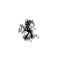 C=C(C)[C@@H]1CC[C@]2(C(=O)N(CCCCCCCN)C(=O)CCC(C)(C)C(=O)OC)CC[C@]3(C)[C@H](CCC4[C@@]5(C)CC[C@H](OC(C)=O)C(C)(C)[C@@H]5CC[C@]43C)[C@@H]12